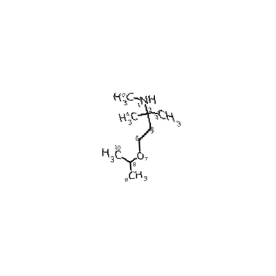 CNC(C)(C)CCOC(C)C